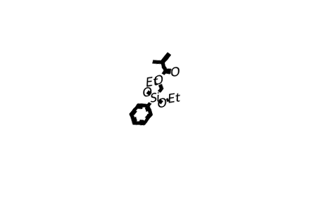 C=C(C)C(=O)OC[Si](OCC)(OCC)c1ccccc1